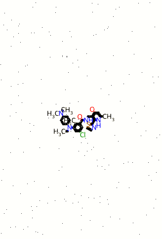 CCN(c1cc(Cl)cc(C(=O)NCc2c(-c3nccs3)[nH]c(C)cc2=O)c1C)[C@H]1CC[C@H](N(C)C)CC1